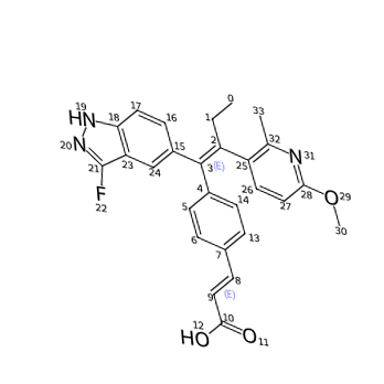 CC/C(=C(/c1ccc(/C=C/C(=O)O)cc1)c1ccc2[nH]nc(F)c2c1)c1ccc(OC)nc1C